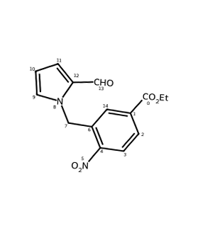 CCOC(=O)c1ccc([N+](=O)[O-])c(Cn2cccc2C=O)c1